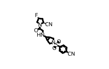 N#Cc1ccc(S(=O)(=O)N2CC3C(C2)C3NCC(=O)N2C[C@@H](F)C[C@H]2C#N)cc1